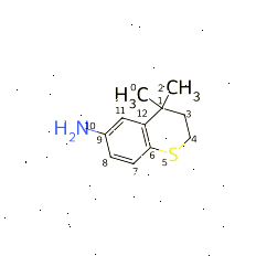 CC1(C)CCSc2ccc(N)cc21